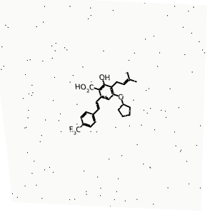 CC(C)=CCc1c(OC2CCCC2)cc(/C=C/c2ccc(C(F)(F)F)cc2)c(C(=O)O)c1O